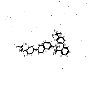 CC(=O)NC1CCC(N2CCc3cc(NC(=O)c4ccccc4-c4ccc(C(F)(F)F)cc4)ccc3C2)CC1